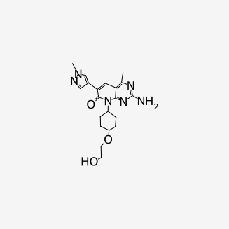 Cc1nc(N)nc2c1cc(-c1cnn(C)c1)c(=O)n2C1CCC(OCCO)CC1